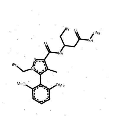 CCCCNC(=O)CC(CC(C)C)NC(=O)c1nn(CC(C)C)c(-c2c(OC)cccc2OC)c1C